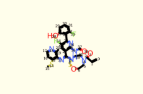 C=CC(=O)N1CCOSN(/C(=N/c2c(SC)ccnc2C)c2cc(F)c(-c3c(O)cccc3F)nc2NC=O)CC1